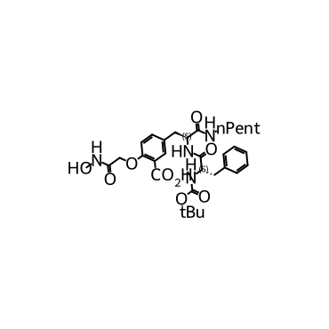 CCCCCNC(=O)[C@H](Cc1ccc(OCC(=O)NO)c(C(=O)O)c1)NC(=O)[C@H](Cc1ccccc1)NC(=O)OC(C)(C)C